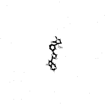 CN1CC[C@@](O)(c2cccc(-c3csc(-c4c[nH]c5ncncc45)n3)c2)C1=O